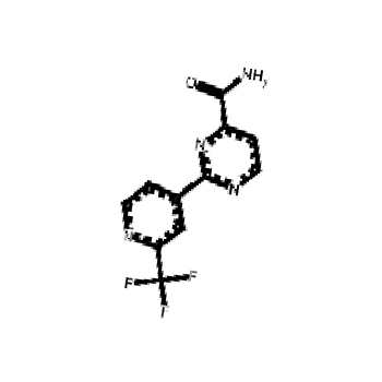 NC(=O)c1ccnc(-c2ccnc(C(F)(F)F)c2)n1